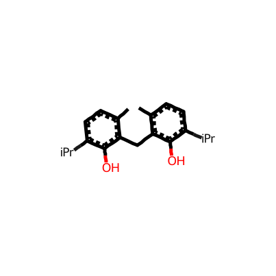 Cc1ccc(C(C)C)c(O)c1Cc1c(C)ccc(C(C)C)c1O